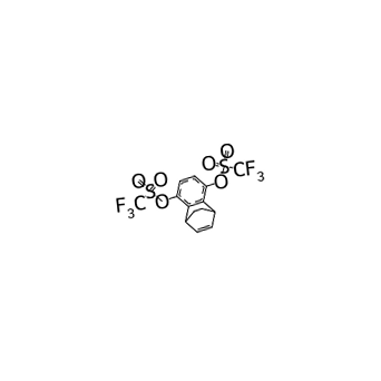 O=S(=O)(Oc1ccc(OS(=O)(=O)C(F)(F)F)c2c1C1C=CC2CC1)C(F)(F)F